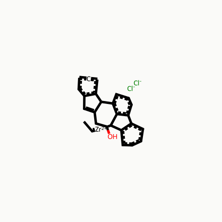 C[CH]=[Zr+2][CH]1c2ccccc2-c2cccc(C3C(CCO)=Cc4ccccc43)c21.[Cl-].[Cl-]